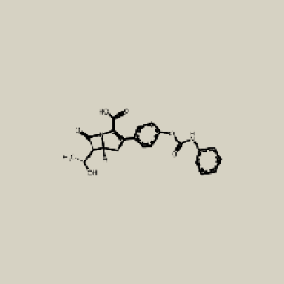 C[C@@H](O)[C@H]1C(=O)N2C(C(=O)O)=C(c3ccc(OC(=O)Nc4ccccc4)cc3)C[C@H]12